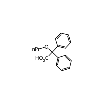 CCCOC(C(=O)O)(c1ccccc1)c1ccccc1